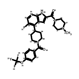 CN1CCN(C(=O)c2cc3c(C4CCN(C(=O)c5ccc(OC(F)(F)F)cc5)CC4)c(F)cnc3[nH]2)CC1